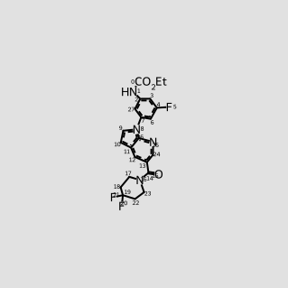 CCOC(=O)Nc1cc(F)cc(-n2ccc3cc(C(=O)N4CCC(F)(F)CC4)cnc32)c1